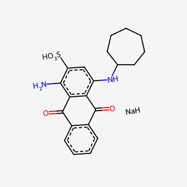 Nc1c(S(=O)(=O)O)cc(NC2CCCCCC2)c2c1C(=O)c1ccccc1C2=O.[NaH]